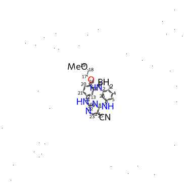 BNc1cccc(Nc2nc(Nc3ccc(OCCOC)cc3)ncc2C#N)c1